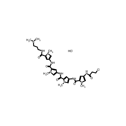 CN(C)CCCNC(=O)c1cc(NC(=O)c2cc(NC(=O)c3cc(NC(=O)c4cc(NC(=O)CCCl)cn4C)cn3C)cn2C)cn1C.Cl